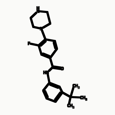 CC(C)(C)c1cccc(NC(=O)c2ccc(N3CCNCC3)c(F)c2)c1